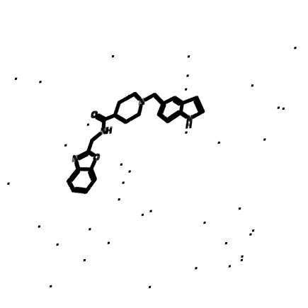 O=C(NCc1nc2ccccc2o1)C1CCN(Cc2ccc3[nH]ccc3c2)CC1